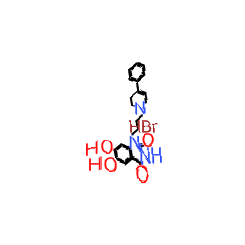 Br.O=c1[nH]c(=O)n(CCCCN2CC=C(c3ccccc3)CC2)c2cc(O)c(O)cc12